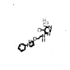 Cc1ncnc(NCCOc2ccn(-c3ccccc3)n2)c1Cl